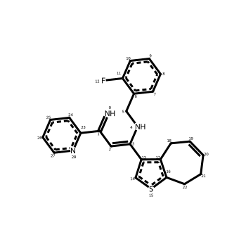 N=C(/C=C(\NCc1ccccc1F)c1csc2c1CC=CCC2)c1ccccn1